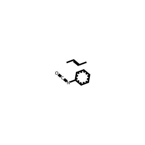 CC=CC.O=C=Nc1ccccc1